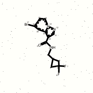 O=C(NCC1CC(F)(F)C1)c1cnn2ccc(Br)cc12